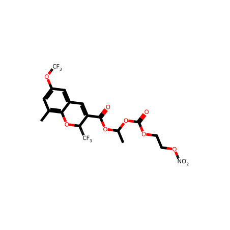 Cc1cc(OC(F)(F)F)cc2c1OC(C(F)(F)F)C(C(=O)OC(C)OC(=O)OCCO[N+](=O)[O-])=C2